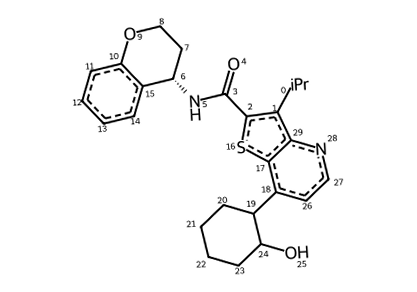 CC(C)c1c(C(=O)N[C@H]2CCOc3ccccc32)sc2c(C3CCCCC3O)ccnc12